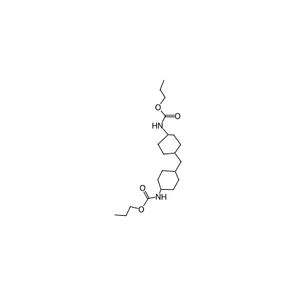 CCCOC(=O)NC1CCC(CC2CCC(NC(=O)OCCC)CC2)CC1